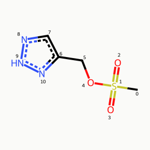 CS(=O)(=O)OCc1cn[nH]n1